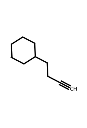 C#CCCC1C[CH]CCC1